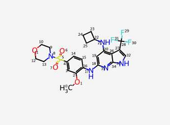 COc1cc(S(=O)(=O)N2CCOCC2)ccc1Nc1cc(NC2CCC2)c2c(C(F)(F)F)c[nH]c2n1